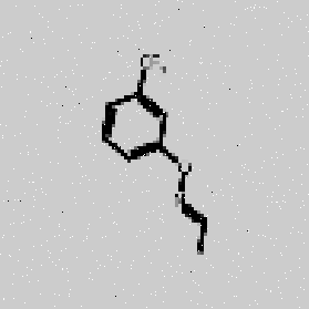 C/C=N/Oc1cccc(C(F)(F)F)c1